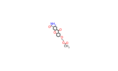 CC(=O)OCCOc1ccc2oc3cc(C(N)=O)ccc3c(=O)c2c1